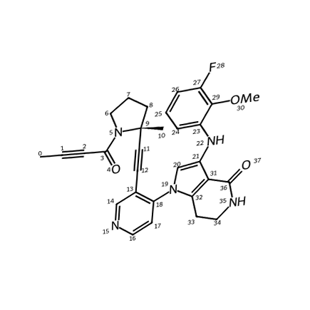 CC#CC(=O)N1CCC[C@]1(C)C#Cc1cnccc1-n1cc(Nc2cccc(F)c2OC)c2c1CCNC2=O